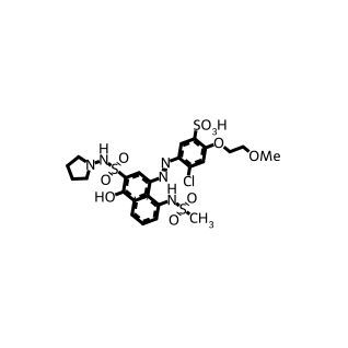 COCCOc1cc(Cl)c(N=Nc2cc(S(=O)(=O)NN3CCCC3)c(O)c3cccc(NS(C)(=O)=O)c23)cc1S(=O)(=O)O